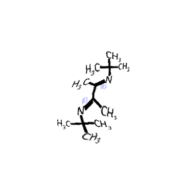 CC(=N\C(C)(C)C)/C(C)=N/C(C)(C)C